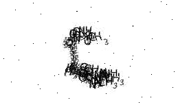 COC(=O)CCC(C(N)=O)N1Cc2c(CCCCCCCCN3CCC(CCOc4cc5ncnc(Nc6n[nH]c(C)c6C)c5cc4S(=O)(=O)C(C)(C)C)CC3)cccc2C1=O